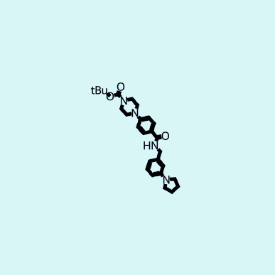 CC(C)(C)OC(=O)N1CCN(c2ccc(C(=O)NCc3cccc(N4CCCC4)c3)cc2)CC1